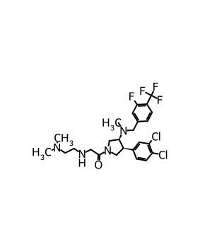 CN(C)CCNCC(=O)N1C[C@H](c2ccc(Cl)c(Cl)c2)[C@H](N(C)Cc2ccc(C(F)(F)F)c(F)c2)C1